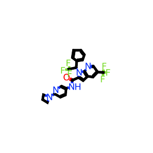 O=C(Nc1ccc(N2CCC2)nc1)c1cc2cc(C(F)(F)F)cnc2n1C(c1ccccc1)C(F)(F)F